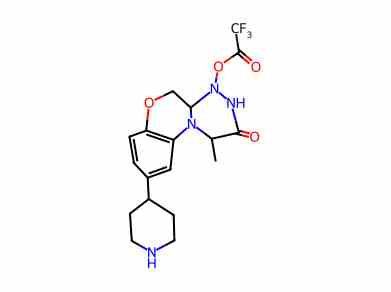 CC1C(=O)NN(OC(=O)C(F)(F)F)C2COc3ccc(C4CCNCC4)cc3N12